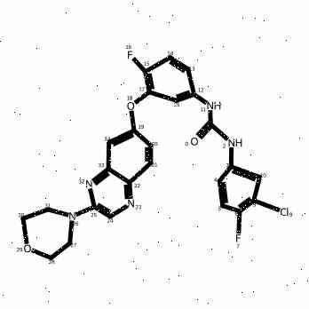 O=C(Nc1ccc(F)c(Cl)c1)Nc1ccc(F)c(Oc2ccc3ncc(N4CCOCC4)nc3c2)c1